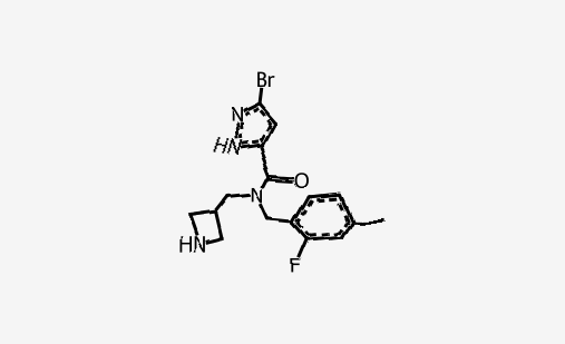 Cc1ccc(CN(CC2CNC2)C(=O)c2cc(Br)n[nH]2)c(F)c1